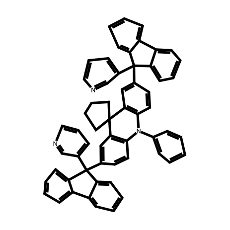 c1ccc(N2c3ccc(C4(c5cccnc5)c5ccccc5-c5ccccc54)cc3C3(CCCC3)c3cc(C4(c5cccnc5)c5ccccc5-c5ccccc54)ccc32)cc1